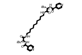 CCC(C)[C@H](NC(=O)c1ccncc1)C(=O)NCCCCCCCCCCNC(=O)[C@@H](NC(=O)c1ccncc1)C(C)CC